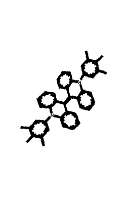 Cc1cc(N2c3ccccc3C(=C3c4ccccc4N(c4cc(C)c(C)c(C)c4)c4ccccc43)c3ccccc32)cc(C)c1C